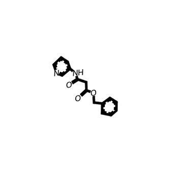 O=C(CC(=O)OCc1ccccc1)Nc1cccnc1